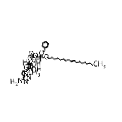 CCCCCCCCCCCCCCCCCCOC[C@@H](COP(=O)(O)OC1[C@H]2O[C@@](C)(c3ccc4c(N)ncnn34)[C@H](O)[C@@]12O)OCc1ccccc1